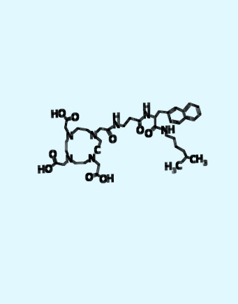 CC(C)CCCCNC(=O)C(Cc1ccc2ccccc2c1)NC(=O)CCNC(=O)CN1CCN(CC(=O)O)CCN(CC(=O)O)CCN(CC(=O)O)CC1